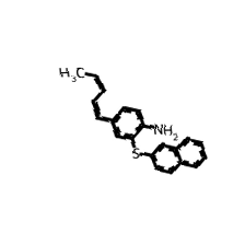 C/C=C\C=C/c1ccc(N)c(Sc2ccc3ccccc3c2)c1